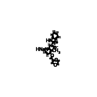 Cc1c(OCC2COCCO2)ccnc1C[S+]([O-])c1nc2ccccc2[nH]1.[NaH]